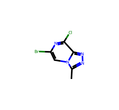 Cc1nnc2c(Cl)nc(Br)cn12